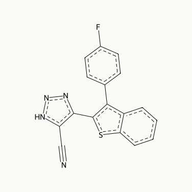 N#Cc1[nH]nnc1-c1sc2ccccc2c1-c1ccc(F)cc1